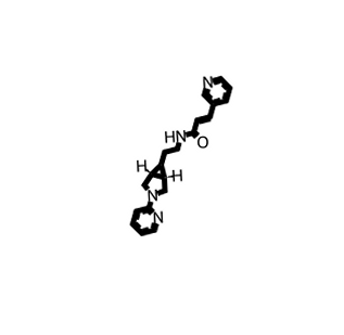 O=C(/C=C/c1cccnc1)NCCC1[C@H]2CN(c3ccccn3)C[C@@H]12